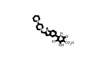 CCc1c(-c2ccc3c(c2)cc(CN2CCC(N4CCCCC4)CC2)n3C)[nH]c(=O)c(C(=O)O)c1O